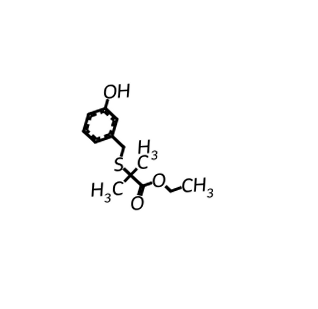 CCOC(=O)C(C)(C)SCc1cccc(O)c1